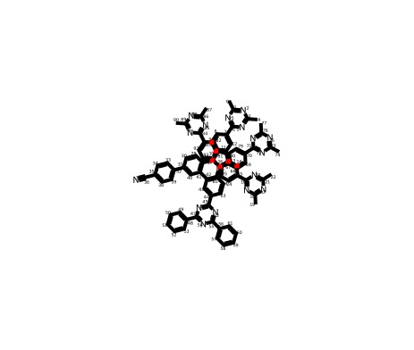 Cc1nc(C)nc(-c2ccc3c(c2)c2cc(-c4nc(C)nc(C)n4)ccc2n3-c2ccc(-c3ccc(C#N)cc3)cc2-c2cc(-c3nc(-c4ccccc4)nc(-c4ccccc4)n3)ccc2-n2c3ccc(-c4nc(C)nc(C)n4)cc3c3cc(-c4nc(C)nc(C)n4)ccc32)n1